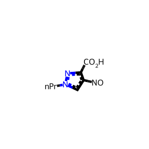 CCCn1cc(N=O)c(C(=O)O)n1